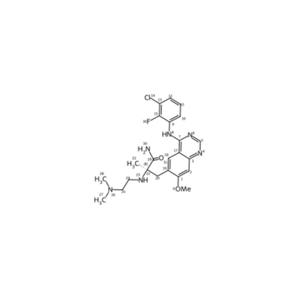 COc1cc2ncnc(Nc3cccc(Cl)c3F)c2cc1C[C@@](C)(NCCN(C)C)C(N)=O